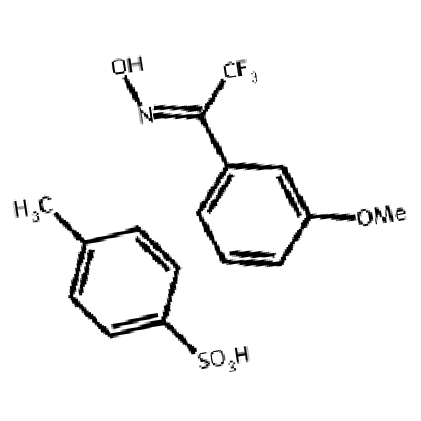 COc1cccc(C(=NO)C(F)(F)F)c1.Cc1ccc(S(=O)(=O)O)cc1